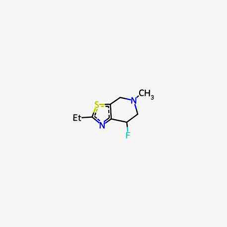 CCc1nc2c(s1)CN(C)CC2F